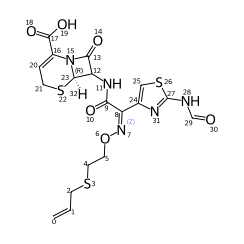 C=CCSCCO/N=C(\C(=O)NC1C(=O)N2C(C(=O)O)=CCS[C@H]12)c1csc(NC=O)n1